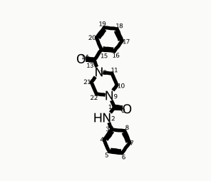 O=C(Nc1ccccc1)N1CCN(C(=O)c2ccccc2)CC1